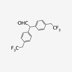 O=[C]C(c1ccc(CC(F)(F)F)cc1)c1ccc(CC(F)(F)F)cc1